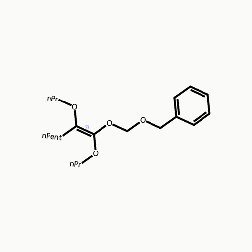 CCCCC/C(OCCC)=C(\OCCC)OCOCc1ccccc1